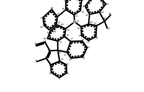 C=CC1=C(C)c2ccccc2C12c1ccccc1-c1c(N(c3ccccc3-c3ccccc3)c3cccc4c3-c3ccccc3C4(C)C)cccc12